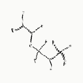 FC(F)C(F)OC(F)(F)C(F)C(F)(F)F